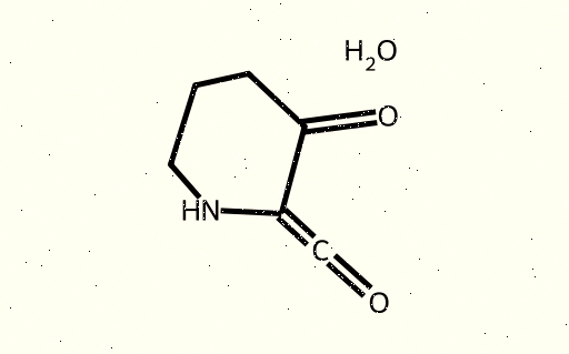 O.O=C=C1NCCCC1=O